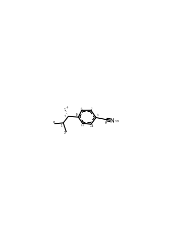 CC(C)[C@H](C)c1ccc(C#N)cc1